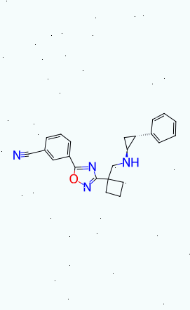 N#Cc1cccc(-c2nc(C3(CN[C@H]4C[C@@H]4c4ccccc4)CCC3)no2)c1